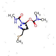 CNC(=O)n1nc(CSC)cc1OC(=O)N(C)C